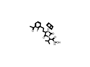 CC(=O)c1cccc(CCC2NC(=O)N(C(C(=O)NO)C(C)C)C2=O)c1F.c1cc2ccc1-2